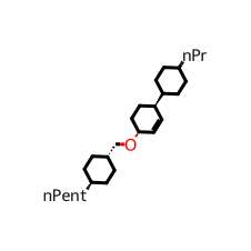 CCCCC[C@H]1CC[C@H](CO[C@H]2C=C[C@H](C3CCC(CCC)CC3)CC2)CC1